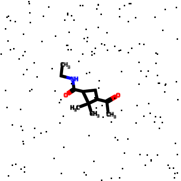 CCNC(=O)C1CC(C(C)=O)C1(C)C